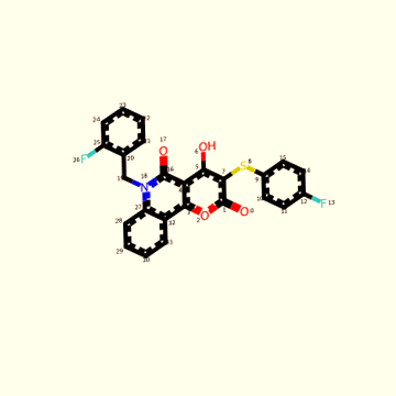 O=c1oc2c(c(O)c1Sc1ccc(F)cc1)c(=O)n(Cc1ccccc1F)c1ccccc21